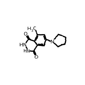 Cc1cc(N2CCCC2)cc2c(=O)[nH][nH]c(=O)c12